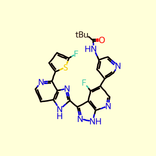 CC(C)(C)C(=O)Nc1cncc(-c2cnc3[nH]nc(-c4nc5c(-c6ccc(F)s6)nccc5[nH]4)c3c2F)c1